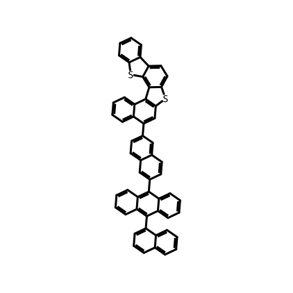 c1ccc2c(-c3c4ccccc4c(-c4ccc5cc(-c6cc7sc8ccc9c%10ccccc%10sc9c8c7c7ccccc67)ccc5c4)c4ccccc34)cccc2c1